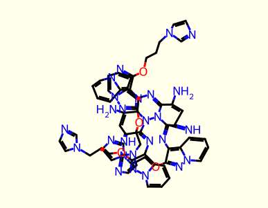 N=C1C=C(N)C(=Nc2c(OCCCn3ccnc3)nn3ccccc23)N(N2C(=Nc3c(OCCn4ccnc4)nn4ccccc34)C(=N)C=C(N)C2=Nc2c(OCCn3ccnc3)nn3ccccc23)C1=Nc1c(OCCCn2ccnc2)nn2ccccc12